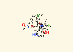 CC(=O)NCCc1ccccc1-c1onc([C@H]2CNCC[C@]2(O)c2ccc(C)c(F)c2)c1Br.Cl